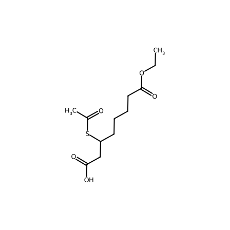 CCOC(=O)CCCCC(CC(=O)O)SC(C)=O